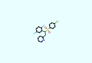 O=S(=O)(c1ccc(Cl)cc1)C(Cc1ccccn1)c1cc(F)ccc1F